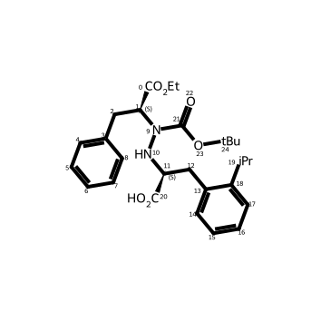 CCOC(=O)[C@H](Cc1ccccc1)N(N[C@@H](Cc1ccccc1C(C)C)C(=O)O)C(=O)OC(C)(C)C